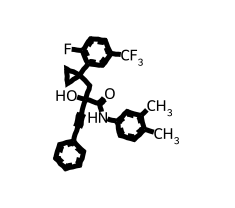 Cc1ccc(NC(=O)C(O)(C#Cc2ccccc2)CC2(c3cc(C(F)(F)F)ccc3F)CC2)cc1C